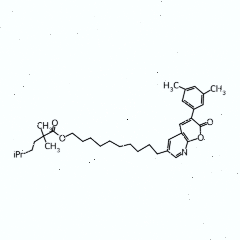 Cc1cc(C)cc(-c2cc3cc(CCCCCCCCCCOC(=O)C(C)(C)CCC(C)C)cnc3oc2=O)c1